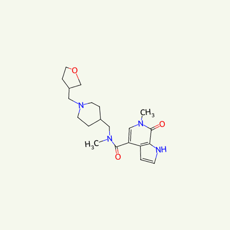 CN(CC1CCN(CC2CCOC2)CC1)C(=O)c1cn(C)c(=O)c2[nH]ccc12